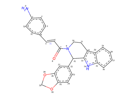 Nc1ccc(/C=C/C(=O)N2CCc3c([nH]c4ccccc34)C2c2ccc3c(c2)OCO3)cc1